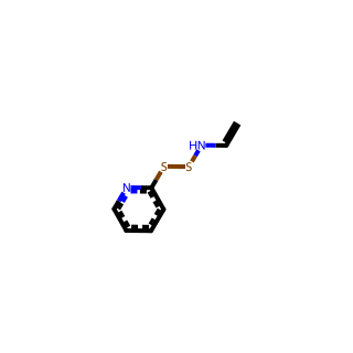 C=CNSSc1ccccn1